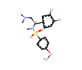 CN(C)C[C@@H](c1ccc(Cl)c(Cl)c1)N(C)S(=O)(=O)c1ccc(OC(F)(F)F)cc1